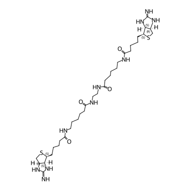 N=C1N[C@H]2[C@H](CS[C@H]2CCCCC(=O)NCCCCCC(=O)NCCNC(=O)CCCCCNC(=O)CCCC[C@@H]2SC[C@@H]3NC(=N)N[C@@H]32)N1